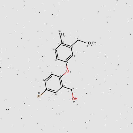 CCOC(=O)Cc1cc(Oc2ccc(Br)cc2CO)ccc1C